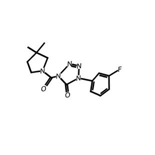 CC1(C)CCN(C(=O)n2nnn(-c3cccc(F)c3)c2=O)C1